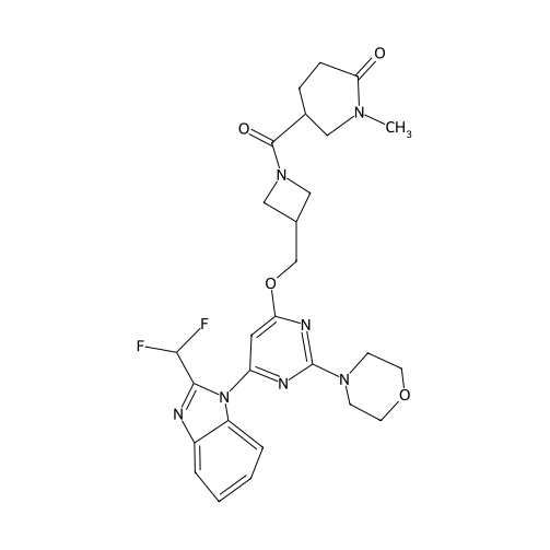 CN1CC(C(=O)N2CC(COc3cc(-n4c(C(F)F)nc5ccccc54)nc(N4CCOCC4)n3)C2)CCC1=O